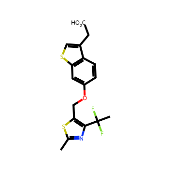 Cc1nc(C(C)(F)F)c(COc2ccc3c(CC(=O)O)csc3c2)s1